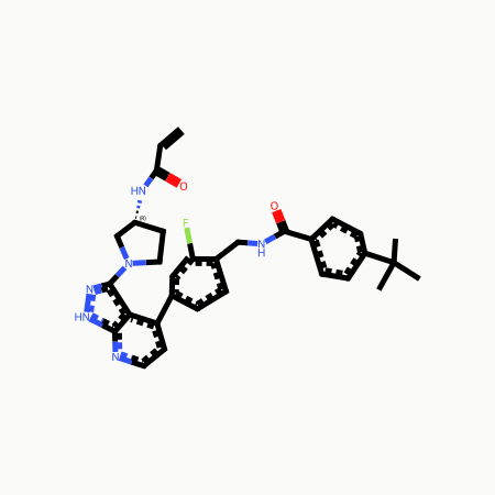 C=CC(=O)N[C@@H]1CCN(c2n[nH]c3nccc(-c4ccc(CNC(=O)c5ccc(C(C)(C)C)cc5)c(F)c4)c23)C1